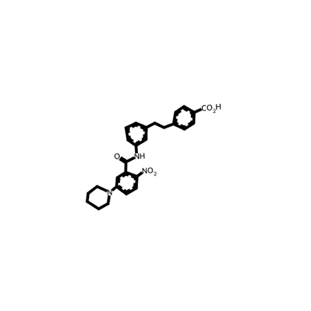 O=C(O)c1ccc(CCc2cccc(NC(=O)c3cc(N4CCCCC4)ccc3[N+](=O)[O-])c2)cc1